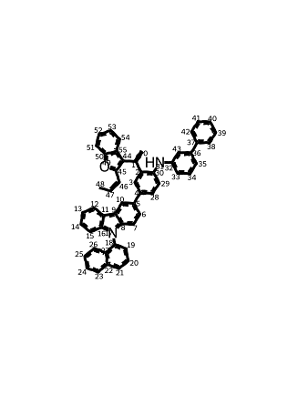 C=C(c1cc(-c2ccc3c(c2)c2ccccc2n3-c2cccc3ccccc23)ccc1Nc1cccc(-c2ccccc2)c1)c1c(/C=C\C)oc2ccccc12